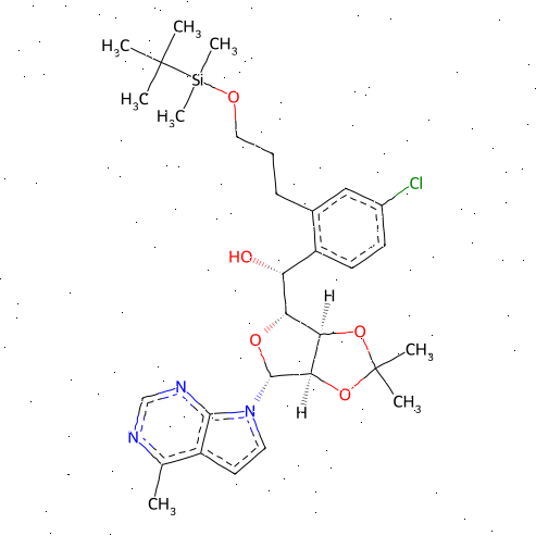 Cc1ncnc2c1ccn2[C@@H]1O[C@H]([C@H](O)c2ccc(Cl)cc2CCCO[Si](C)(C)C(C)(C)C)[C@H]2OC(C)(C)O[C@H]21